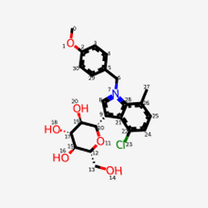 COc1ccc(Cn2cc([C@@H]3O[C@H](CO)[C@@H](O)[C@H](O)[C@H]3O)c3c(Cl)ccc(C)c32)cc1